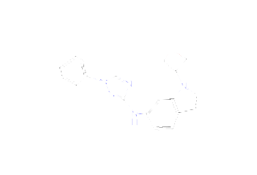 c1ccc(-n2cnc(Nc3ccc4c(c3)N(C3COC3)CC4)n2)cc1